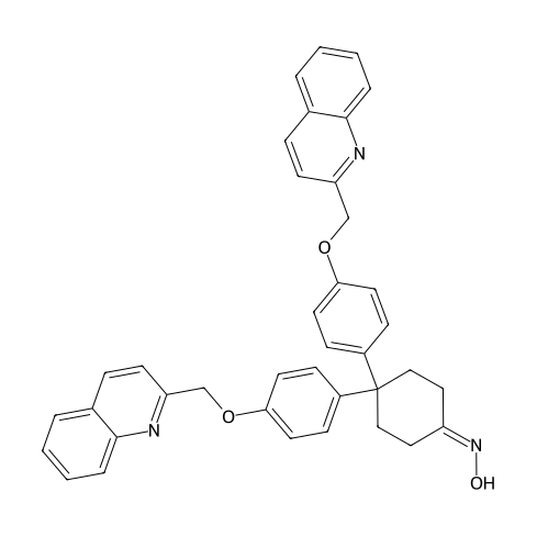 ON=C1CCC(c2ccc(OCc3ccc4ccccc4n3)cc2)(c2ccc(OCc3ccc4ccccc4n3)cc2)CC1